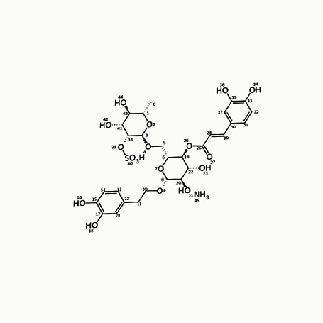 C[C@@H]1O[C@@H](OC[C@H]2O[C@@H](OCCc3ccc(O)c(O)c3)[C@H](O)[C@@H](O)[C@@H]2OC(=O)/C=C/c2ccc(O)c(O)c2)[C@H](OS(=O)(=O)O)[C@H](O)[C@H]1O.N